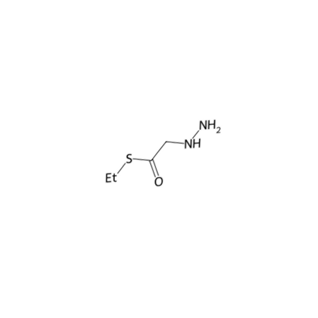 CCSC(=O)CNN